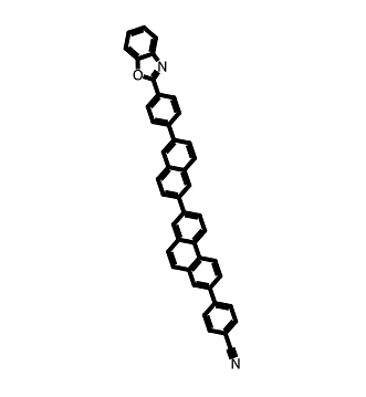 N#Cc1ccc(-c2ccc3c(ccc4cc(-c5ccc6cc(-c7ccc(-c8nc9ccccc9o8)cc7)ccc6c5)ccc43)c2)cc1